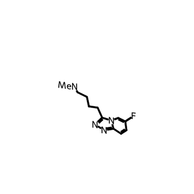 CNCCCCc1nnc2ccc(F)cn12